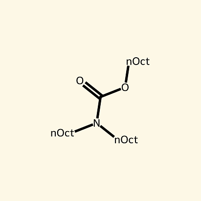 CCCCCCCCOC(=O)N(CCCCCCCC)CCCCCCCC